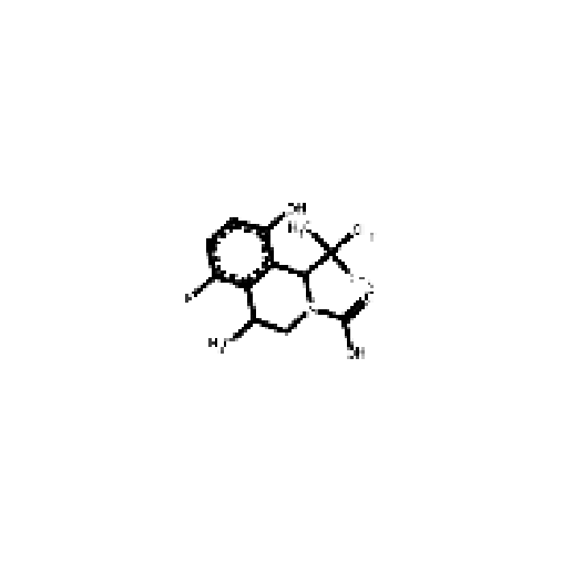 CC1CN(C(=O)O)C(C(C)(C)C)c2c(O)ccc(F)c21